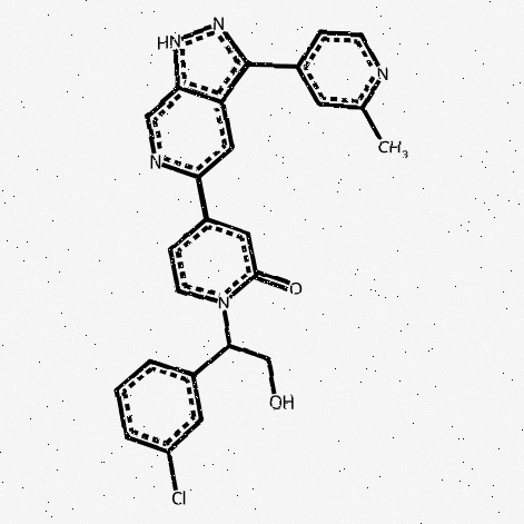 Cc1cc(-c2n[nH]c3cnc(-c4ccn(C(CO)c5cccc(Cl)c5)c(=O)c4)cc23)ccn1